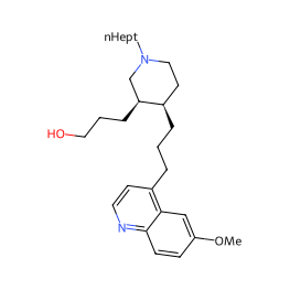 CCCCCCCN1CC[C@@H](CCCc2ccnc3ccc(OC)cc23)[C@@H](CCCO)C1